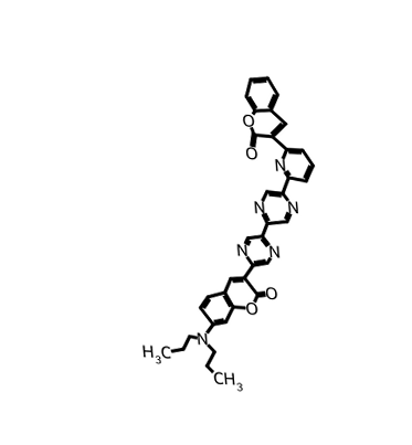 CCCN(CCC)c1ccc2cc(-c3cnc(-c4cnc(-c5cccc(-c6cc7ccccc7oc6=O)n5)cn4)cn3)c(=O)oc2c1